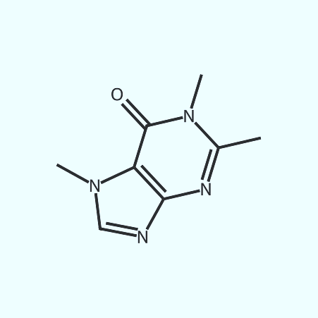 Cc1nc2ncn(C)c2c(=O)n1C